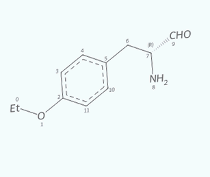 CCOc1ccc(C[C@@H](N)C=O)cc1